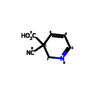 N#CC1(C(=O)O)C=CC=NC1